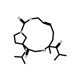 CC(C)NC12CCN(C1)C(=O)OC/C=C/CCC(C)(C(=O)C(C)C)NCC2=O